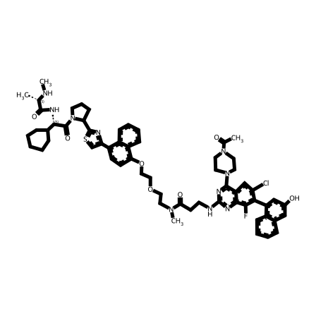 CN[C@@H](C)C(=O)N[C@H](C(=O)N1CCCC1c1nc(-c2ccc(OCCOCCN(C)C(=O)CCNc3nc(N4CCN(C(C)=O)CC4)c4cc(Cl)c(-c5cc(O)cc6ccccc56)c(F)c4n3)c3ccccc23)cs1)C1CCCCC1